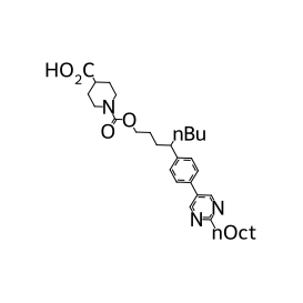 CCCCCCCCc1ncc(-c2ccc(C(CCCC)CCCOC(=O)N3CCC(C(=O)O)CC3)cc2)cn1